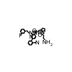 N#Cc1ccccc1-c1ccc(C(=O)NC[C@H]2CCCN2C(=O)CCCN)c(NCCc2cccc(F)c2)n1